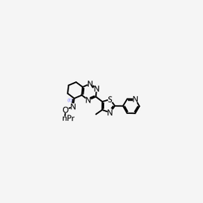 CCCO/N=C1\CCCc2nnc(-c3sc(-c4cccnc4)nc3C)nc21